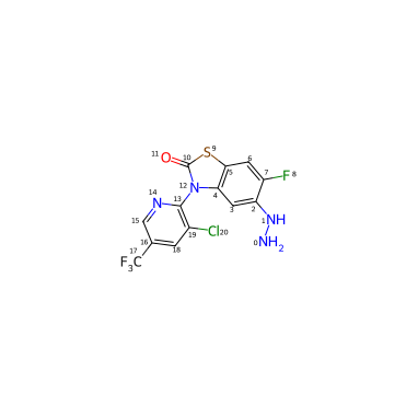 NNc1cc2c(cc1F)sc(=O)n2-c1ncc(C(F)(F)F)cc1Cl